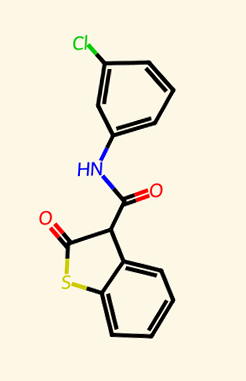 O=C(Nc1cccc(Cl)c1)C1C(=O)Sc2ccccc21